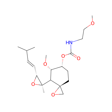 COCCNC(=O)O[C@@H]1CC[C@]2(CO2)C([C@@]2(C)O[C@@H]2/C=C/C(C)C)[C@@H]1OC